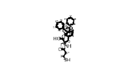 C[C@@](Cc1cc2c(-c3ccccc3)c(-c3ccccc3)c1OCO2)(NC(=O)CCS)C(=O)O